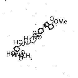 COC(=O)c1cccc2c1ccn2-c1ccc(S(=O)(=O)N2CCC(CNC[C@H](O)c3ccc(O)c(NS(C)(=O)=O)c3)CC2)cc1